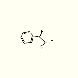 FC(F)C(F)c1ccccc1